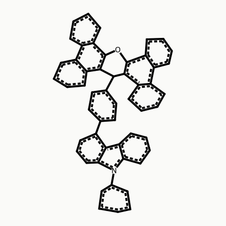 c1ccc(-n2c3ccccc3c3c(-c4ccc(C5c6c(c7ccccc7c7ccccc67)Oc6c5c5ccccc5c5ccccc65)cc4)cccc32)cc1